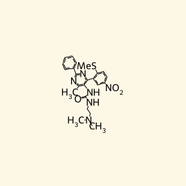 CSc1ccc([N+](=O)[O-])cc1-c1nc(-c2ccccc2)nc(C)c1NC(=O)NCCN(C)C